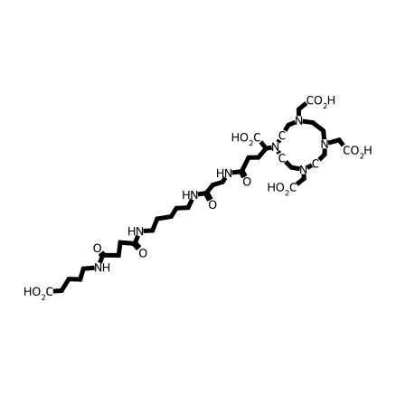 O=C(O)CCCCNC(=O)CCC(=O)NCCCCCNC(=O)CCNC(=O)CCC(C(=O)O)N1CCN(CC(=O)O)CCN(CC(=O)O)CCN(CC(=O)O)CC1